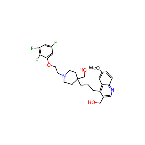 COc1ccc2ncc(CO)c(CCCC3(CO)CCN(CCOc4cc(F)cc(F)c4F)CC3)c2c1